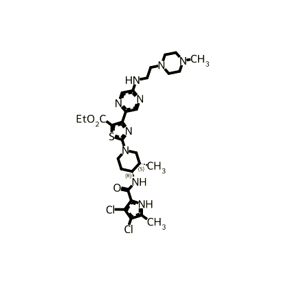 CCOC(=O)c1sc(N2CC[C@@H](NC(=O)c3[nH]c(C)c(Cl)c3Cl)[C@@H](C)C2)nc1-c1cnc(NCCN2CCN(C)CC2)cn1